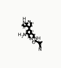 N#CC1CC1C(=O)Nc1cc2cc(-c3ccnc4[nH]ccc34)cc(N)c2cn1